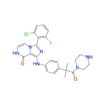 CC(C)(C(=O)N1CCNCC1)c1ccc(Nc2nc(-c3c(F)cccc3Cl)n3cc[nH]c(=O)c23)cc1